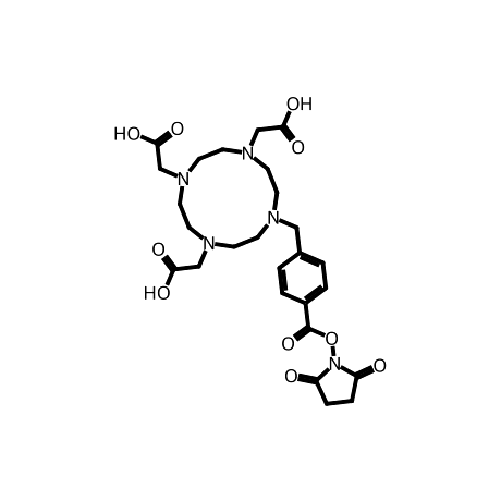 O=C(O)CN1CCN(CC(=O)O)CCN(Cc2ccc(C(=O)ON3C(=O)CCC3=O)cc2)CCN(CC(=O)O)CC1